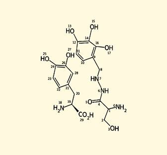 NC(CO)C(=O)NNCc1ccc(O)c(O)c1O.N[C@@H](Cc1ccc(O)c(O)c1)C(=O)O